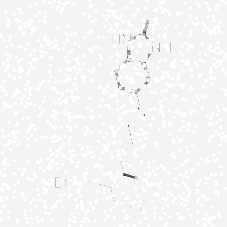 CCOC(=O)C(C(=O)OCC)C(=O)OCCNc1ccc2[nH]c(=O)[nH]c2c1